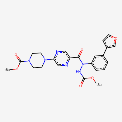 CC(C)(C)OC(=O)NN(C(=O)c1cnc(N2CCN(C(=O)OC(C)(C)C)CC2)cn1)c1cccc(-c2ccoc2)c1